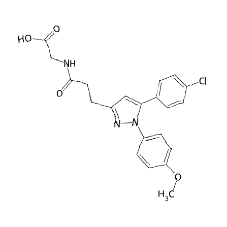 COc1ccc(-n2nc(CCC(=O)NCC(=O)O)cc2-c2ccc(Cl)cc2)cc1